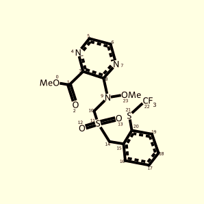 COC(=O)c1nccnc1N(CS(=O)(=O)Cc1ccccc1SC(F)(F)F)OC